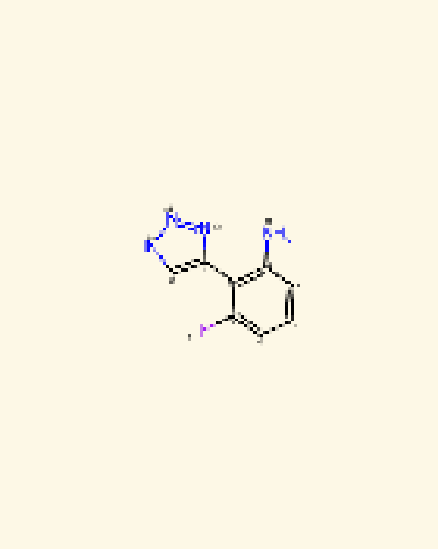 Nc1cccc(I)c1-c1c[nH]nn1